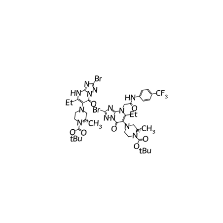 CCc1[nH]c2nc(Br)nn2c(=O)c1N1CCN(C(=O)OC(C)(C)C)[C@H](C)C1.CCc1c(N2CCN(C(=O)OC(C)(C)C)[C@H](C)C2)c(=O)n2nc(Br)nc2n1CC(=O)Nc1ccc(C(F)(F)F)cc1